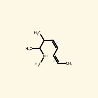 C/C=C\C=C/C(C)C(C)NC